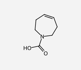 O=C(O)N1CCC=CCC1